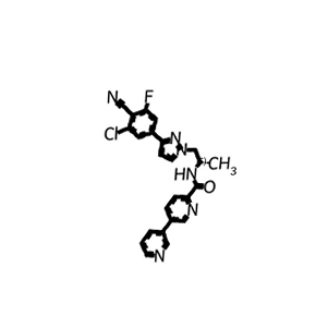 C[C@@H](Cn1ccc(-c2cc(F)c(C#N)c(Cl)c2)n1)NC(=O)c1ccc(-c2cccnc2)cn1